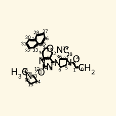 C=CC(=O)N1CCN(c2nc(OC[C@@H]3CCCN3C)nc3c2CO[C@@H](c2cccc4ccccc24)C3)C[C@@H]1CC#N